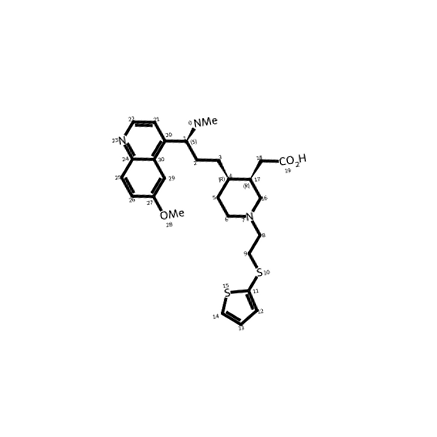 CN[C@@H](CC[C@@H]1CCN(CCSc2cccs2)C[C@@H]1CC(=O)O)c1ccnc2ccc(OC)cc12